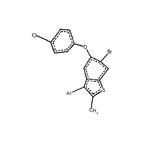 CC(=O)c1c(C)sc2cc(Br)c(Oc3ccc(Cl)cc3)cc12